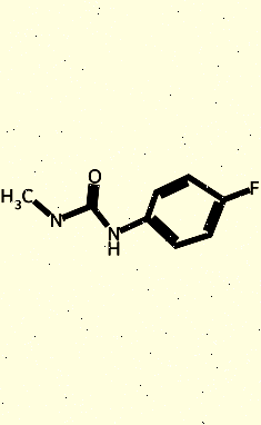 C[N]C(=O)Nc1ccc(F)cc1